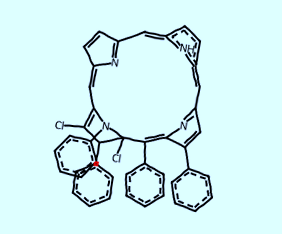 ClC1=C2C=C3C=CC(=N3)C=c3ccc([nH]3)=CC3=NC(=C(c4ccccc4)C(Cl)(C1c1ccccc1)N2c1ccccc1)C(c1ccccc1)=C3